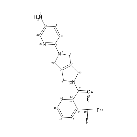 Nc1ccc(N2CC3=C(CN(C(=O)c4ccccc4C(F)(F)F)C3)C2)nc1